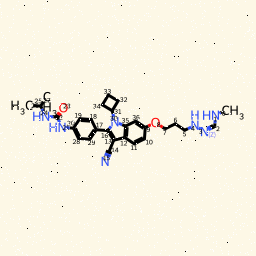 CN/C=N\NCCCOc1ccc2c(C#N)c(-c3ccc(NC(=O)NC(C)C)cc3)n(C3CCC3)c2c1